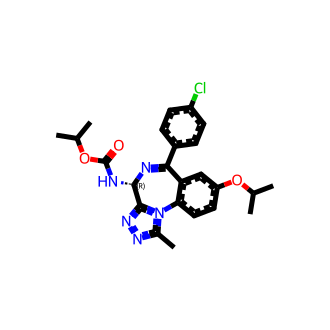 Cc1nnc2n1-c1ccc(OC(C)C)cc1C(c1ccc(Cl)cc1)=N[C@H]2NC(=O)OC(C)C